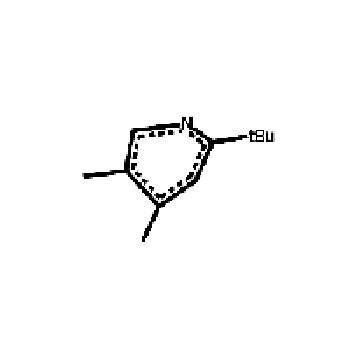 Cc1cnc(C(C)(C)C)cc1C